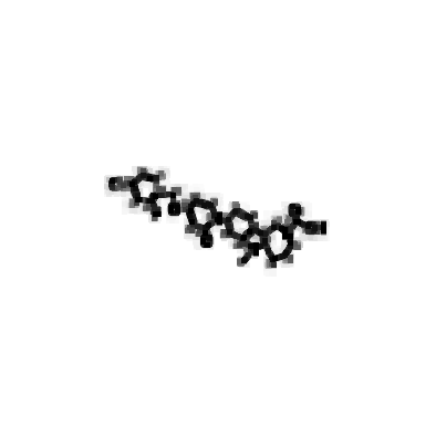 Cn1c2c(c3ccc(-n4ccc(OCc5ccc(Cl)cc5F)cc4=O)cc31)CN(C(=O)O)CCC2